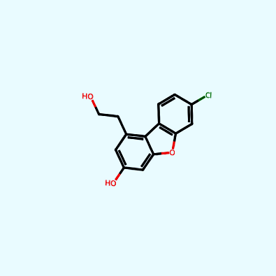 OCCc1cc(O)cc2oc3cc(Cl)ccc3c12